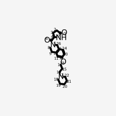 O=C1CCC(C(=O)N2CCc3cc(OCCCN4CCCCC4)ccc3C2)N1